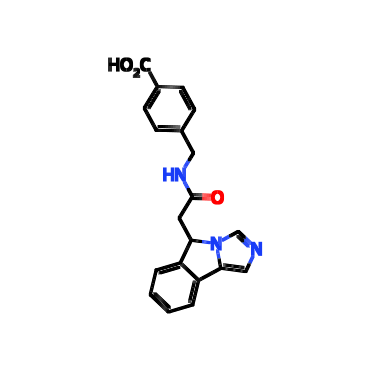 O=C(CC1c2ccccc2-c2cncn21)NCc1ccc(C(=O)O)cc1